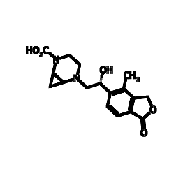 Cc1c([C@@H](O)CN2CCN(C(=O)O)C3CC32)ccc2c1COC2=O